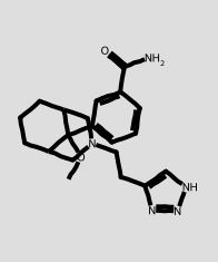 COC1(c2cccc(C(N)=O)c2)C2CCCC1CN(CCc1c[nH]nn1)C2